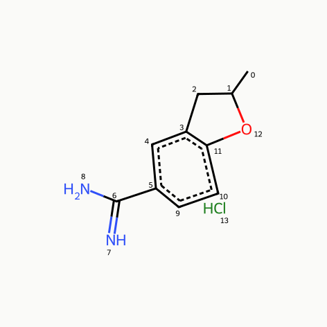 CC1Cc2cc(C(=N)N)ccc2O1.Cl